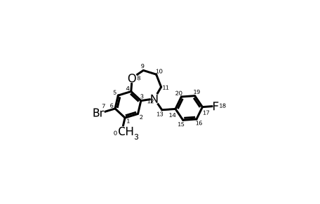 Cc1cc2c(cc1Br)OCCCN2Cc1ccc(F)cc1